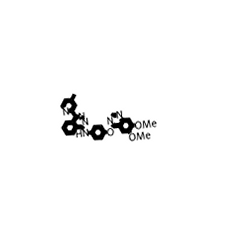 COc1cc2ncnc(Oc3ccc(Nc4nnc(-c5cc(C)ccn5)c5ccccc45)cc3)c2cc1OC